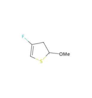 CO[C]1CC(F)=CS1